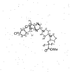 COC(=O)C(F)(F)CC1CCCN1C1CCN(c2cnc3c(C)nn([C@H](C)c4ccc(Cl)cc4Cl)c3n2)CC1C